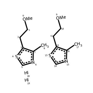 COCCc1scnc1C.COCCc1scnc1C.I.I